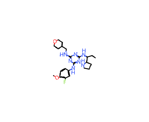 CCC(Nc1nc(NCC2CCOCC2)nc(Nc2ccc(OC)c(F)c2)n1)C1CCCN1